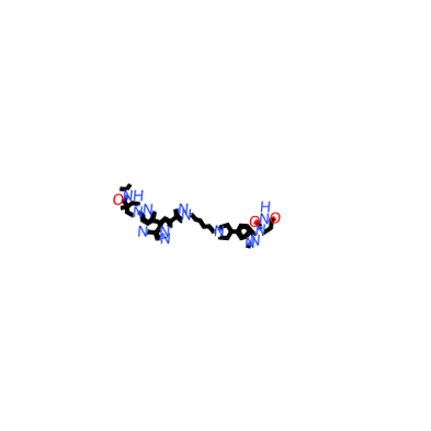 CC(C)NC(=O)C1(C)CCN(c2ccc(-c3cc(-c4cnn(CCCCCCN5CCC(c6ccc7c(N8CCC(=O)NC8=O)nn(C)c7c6)CC5)c4)cn4ncc(C#N)c34)cn2)CC1